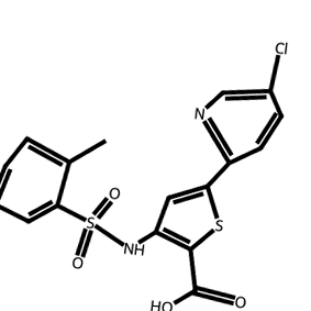 Cc1ccccc1S(=O)(=O)Nc1cc(-c2ccc(Cl)cn2)sc1C(=O)O